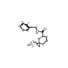 O=C(O)C1CC12CCCN(C(=O)OCc1ccccc1)C2